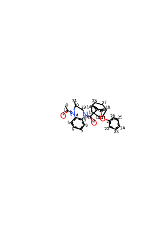 CC(=O)N1c2ccccc2N(C(=O)C2=C3CCCC(=C2Oc2ccccc2)CC3)CC1C